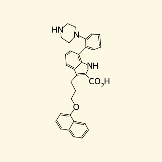 O=C(O)c1[nH]c2c(-c3ccccc3N3CCNCC3)cccc2c1CCCOc1cccc2ccccc12